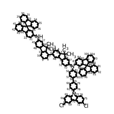 CC1(C)c2ccc(-c3cccc4c3C(C)(C)c3cc(Nc5ccc6c(c5)C5(c7ccccc7-c7ccccc75)c5ccccc5-6)ccc3-4)cc2-c2ccc(N(c3ccc(-c4ccc(-n5c6ccc(Cl)cc6c6cc(Cl)ccc65)cc4)cc3)c3ccc4c(c3)C3(c5ccccc5-c5ccccc53)c3ccccc3-4)cc21